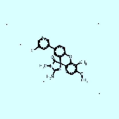 COc1ccc2c(c1C)Oc1ccc(-c3cncc(Cl)c3)cc1C21N=C(N)N(C)C1=O